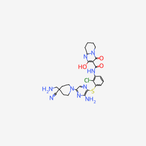 N#CC1(CN)CCN(c2cnc(Sc3cccc(NC(=O)c4c(O)nc5n(c4=O)CCCC5)c3Cl)c(N)n2)CC1